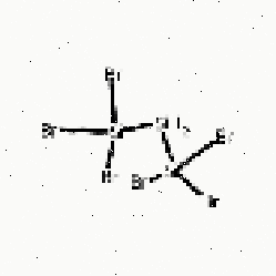 Br[Si](Br)(Br)[SiH2][Si](Br)(Br)Br